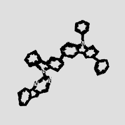 c1ccc(-c2ccc3c(c2)c2cc(-c4ccc5c(c4)c4ccccc4n5-c4ncc5c(n4)-c4ccccc4C5)ccc2n3-c2ccccc2)cc1